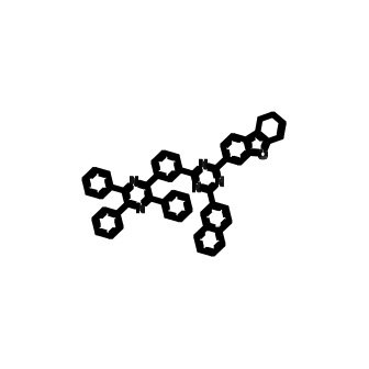 C1=Cc2oc3cc(-c4nc(-c5cccc(-c6nc(-c7ccccc7)c(-c7ccccc7)nc6-c6ccccc6)c5)nc(-c5ccc6ccccc6c5)n4)ccc3c2CC1